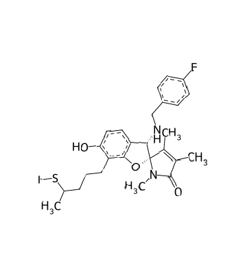 CC1=C(C)[C@@]2(Oc3c(ccc(O)c3CCCC(C)SI)[C@@H]2NCc2ccc(F)cc2)N(C)C1=O